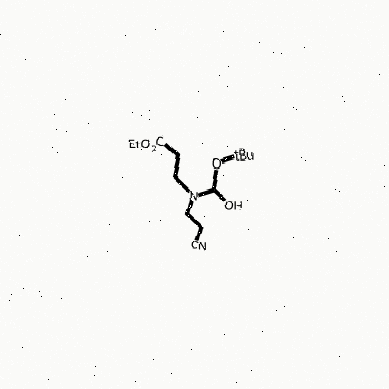 CCOC(=O)CCN(CCC#N)C(O)OC(C)(C)C